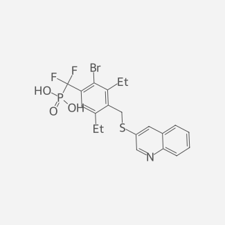 CCc1cc(C(F)(F)P(=O)(O)O)c(Br)c(CC)c1CSc1cnc2ccccc2c1